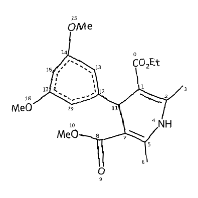 CCOC(=O)C1=C(C)NC(C)=C(C(=O)OC)C1c1cc(OC)cc(OC)c1